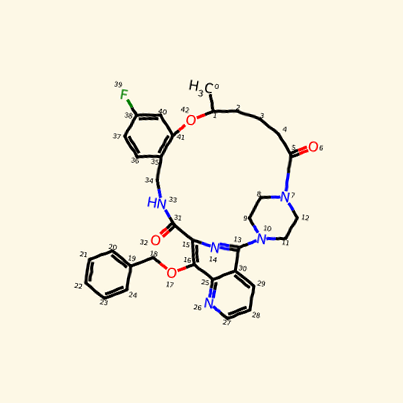 CC1CCCC(=O)N2CCN(CC2)c2nc(c(OCc3ccccc3)c3ncccc23)C(=O)NCc2ccc(F)cc2O1